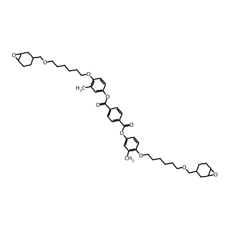 Cc1cc(OC(=O)c2ccc(C(=O)Oc3ccc(OCCCCCCOCC4CCC5OC5C4)c(C)c3)cc2)ccc1OCCCCCCOCC1CCC2OC2C1